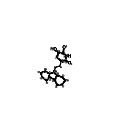 O=c1[nH]c(=O)n(CCn2c3ccccc3c3ccccc32)nc1O